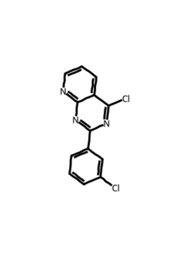 Clc1cccc(-c2nc(Cl)c3cccnc3n2)c1